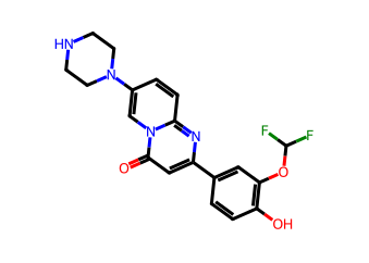 O=c1cc(-c2ccc(O)c(OC(F)F)c2)nc2ccc(N3CCNCC3)cn12